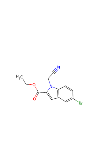 CCOC(=O)c1cc2cc(Br)ccc2n1CC#N